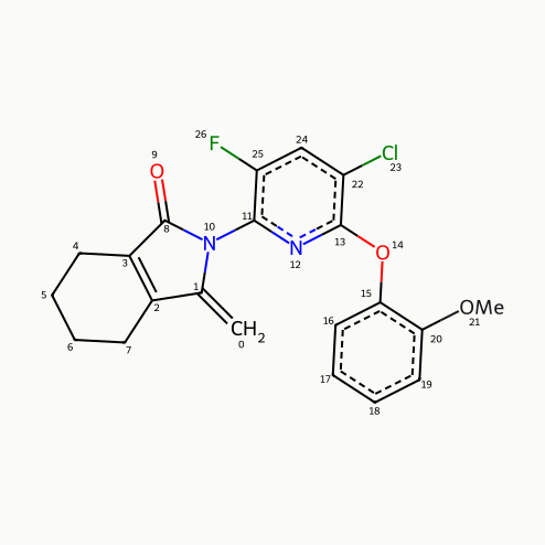 C=C1C2=C(CCCC2)C(=O)N1c1nc(Oc2ccccc2OC)c(Cl)cc1F